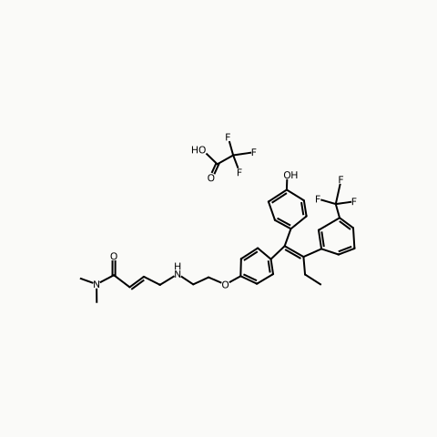 CCC(=C(c1ccc(O)cc1)c1ccc(OCCNCC=CC(=O)N(C)C)cc1)c1cccc(C(F)(F)F)c1.O=C(O)C(F)(F)F